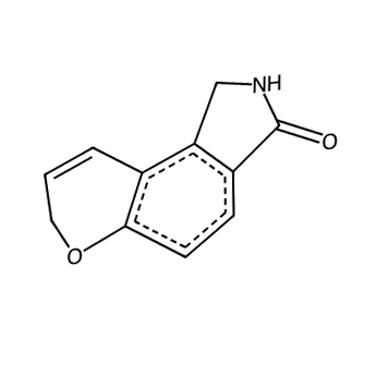 O=C1NCc2c1ccc1c2C=CCO1